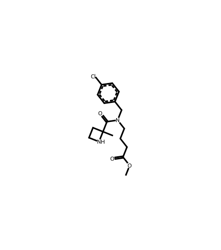 COC(=O)CCCN(Cc1ccc(Cl)cc1)C(=O)C1(C)CCN1